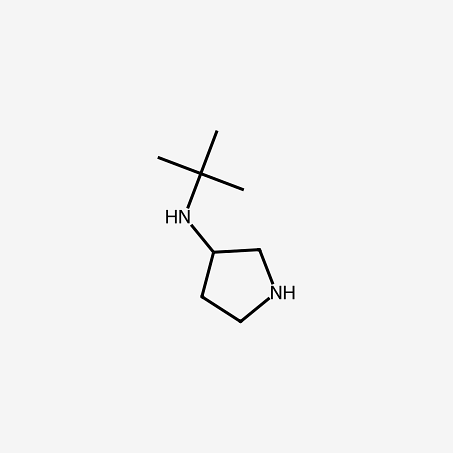 CC(C)(C)NC1CCNC1